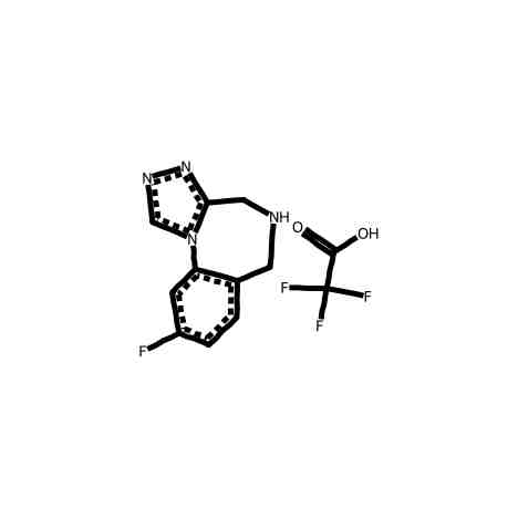 Fc1ccc2c(c1)-n1cnnc1CNC2.O=C(O)C(F)(F)F